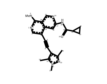 CNc1ncc(C#Cc2c(C)nn(C)c2C)c2cc(NC(=O)C3CC3)ncc12